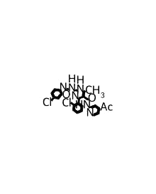 CC(=O)c1ccnc(NC(=O)C2=C(C)NC(Nc3nc4ccc(Cl)cc4o3)=NC2c2ccccc2Cl)c1